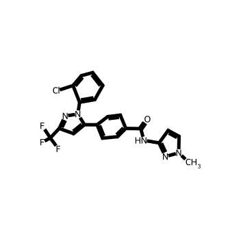 Cn1ccc(NC(=O)c2ccc(-c3cc(C(F)(F)F)nn3-c3ccccc3Cl)cc2)n1